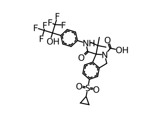 CC(C)(C)C1(C(=O)Nc2ccc(C(O)(C(F)(F)F)C(F)(F)F)cc2)c2ccc(S(=O)(=O)C3CC3)cc2CN1C(=O)O